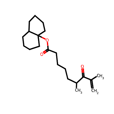 C=C(C)C(=O)C(C)CCCCC(=O)OC12CCCCC1CCCC2